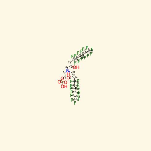 O=S(=O)(O)OCCN(CC(O)CC(F)(F)C(F)(F)C(F)(F)C(F)(F)C(F)(F)C(F)(F)F)CC(O)CC(F)(F)C(F)(F)C(F)(F)C(F)(F)C(F)(F)C(F)(F)F